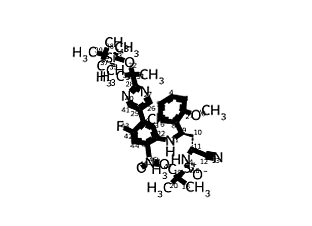 COc1cccc(Cl)c1[C@@H](C[C@H](C#N)N[S+]([O-])C(C)(C)C)Nc1cc(-c2cnc(C(C)(C)O[Si](C)(C)C(C)(C)C)nc2)c(F)cc1[N+](=O)[O-]